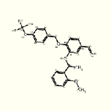 COc1ccccc1C(C)Oc1cc(C=O)ccc1OCc1ccc(OC(F)(F)F)cc1